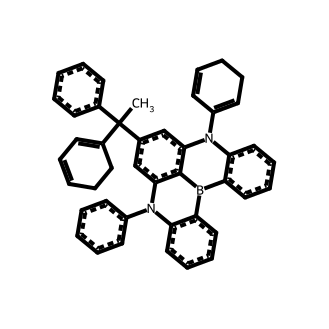 CC(C1=CC=CCC1)(c1ccccc1)c1cc2c3c(c1)N(c1ccccc1)c1ccccc1B3c1ccccc1N2C1=CCCC=C1